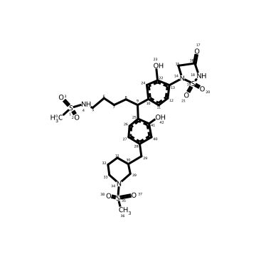 CS(=O)(=O)NCCCCC(c1ccc(N2CC(=O)NS2(=O)=O)c(O)c1)c1ccc(CC2CCCN(S(C)(=O)=O)C2)cc1O